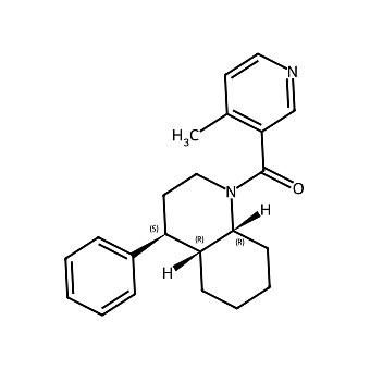 Cc1ccncc1C(=O)N1CC[C@H](c2ccccc2)[C@H]2CCCC[C@H]21